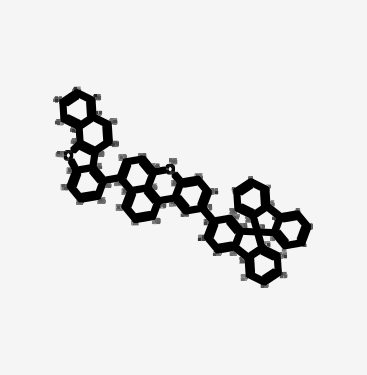 c1ccc2c(c1)-c1ccccc1C21c2ccccc2-c2ccc(-c3ccc4c(c3)-c3cccc5c(-c6cccc7oc8c9ccccc9ccc8c67)ccc(c35)O4)cc21